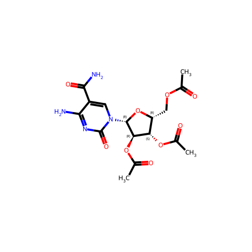 CC(=O)OC[C@H]1O[C@@H](n2cc(C(N)=O)c(N)nc2=O)[C@H](OC(C)=O)[C@H]1OC(C)=O